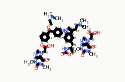 CN(C)CCOC(c1ccccc1)c1ccccc1.CN(C)CCc1c[nH]c2ccc(C[C@H]3COC(=O)N3)cc12.Cn1c(=O)c2c(ncn2CC(=O)O)n(C)c1=O.Cn1c(=O)c2c(ncn2CC(=O)O)n(C)c1=O